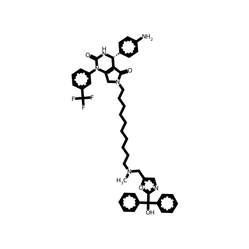 CN(CCCCCCCCCCN1CC2=C(C1=O)[C@@H](c1ccc(N)cc1)NC(=O)N2c1cccc(C(F)(F)F)c1)Cc1cnc(C(O)(c2ccccc2)c2ccccc2)o1